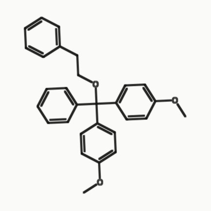 COc1ccc(C(OCCc2ccccc2)(c2ccccc2)c2ccc(OC)cc2)cc1